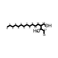 CCCCCCCCCCCCC(CO)C(O)CC